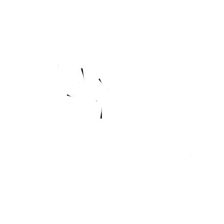 CCOC(=O)CCC=CC1=C[C@@H]2C[C@@H](OC3CCCCO3)[C@@H](CO)[C@@H]2CC1